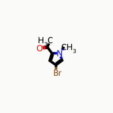 CC(=O)c1cc(Br)cn1C